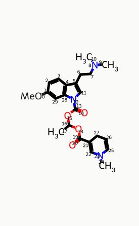 COc1ccc2c(CCN(C)C)cn(C(=O)OC(C)OC(=O)C3=CN(C)C=CC3)c2c1